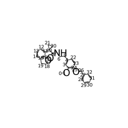 COc1cc(CCNC(=O)C2(c3cccc4c3OCC4)CC2)ccc1OCc1ccccc1